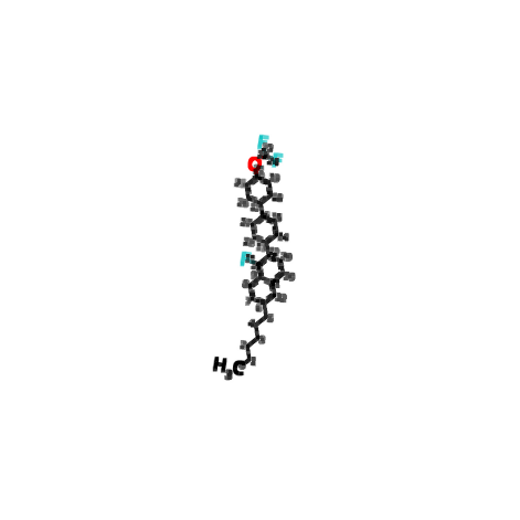 CCCCCCc1ccc2c(F)c(-c3ccc(-c4ccc(OC(F)F)cc4)cc3)ccc2c1